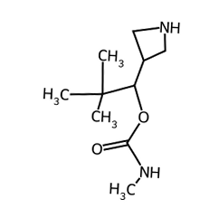 CNC(=O)OC(C1CNC1)C(C)(C)C